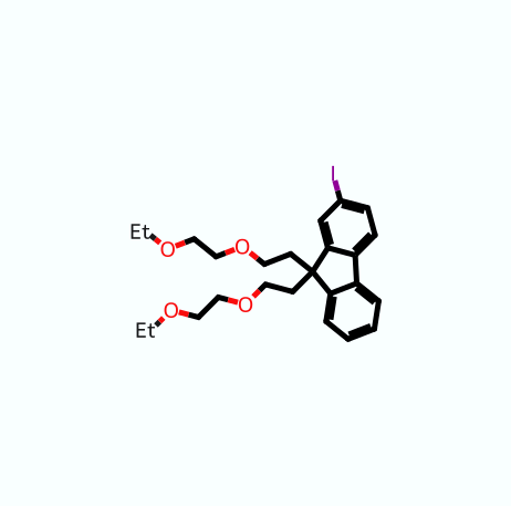 CCOCCOCCC1(CCOCCOCC)c2ccccc2-c2ccc(I)cc21